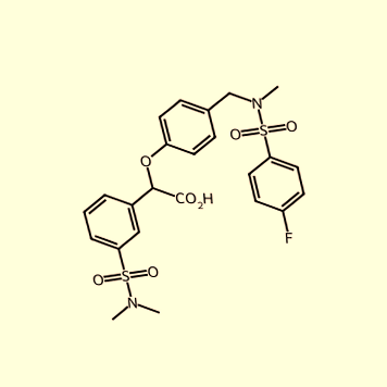 CN(C)S(=O)(=O)c1cccc(C(Oc2ccc(CN(C)S(=O)(=O)c3ccc(F)cc3)cc2)C(=O)O)c1